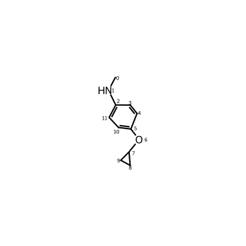 CNc1ccc(OC2CC2)cc1